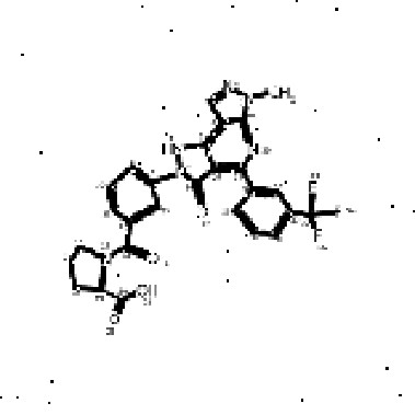 Cn1ncc2c3[nH]n(-c4cccc(C(=O)N5CCC[C@@H]5C(=O)O)c4)c(=O)c3c(-c3cccc(C(F)(F)F)c3)nc21